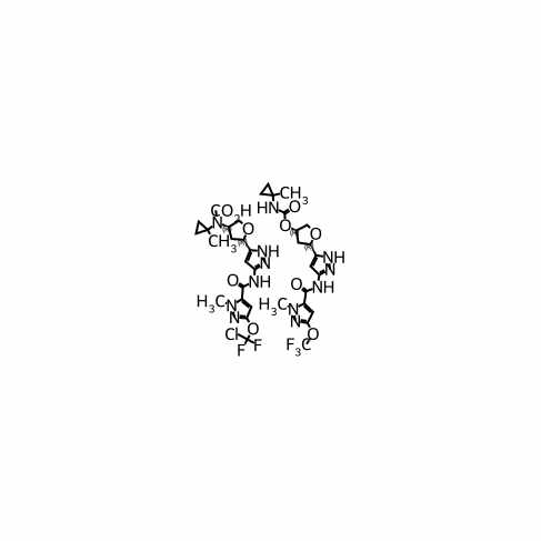 Cn1nc(OC(F)(F)Cl)cc1C(=O)Nc1cc([C@H]2C[C@@H](N(C(=O)O)C3(C)CC3)CO2)[nH]n1.Cn1nc(OC(F)(F)F)cc1C(=O)Nc1cc([C@H]2C[C@@H](OC(=O)NC3(C)CC3)CO2)[nH]n1